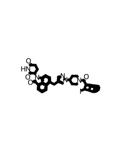 O=C1CCC(N2C(=O)c3cccc4c(Cc5cnn(C6CCN(C(=O)C78C(I)C9C%10C%11C7C%10%11C98)CC6)c5)ccc2c34)C(=O)N1